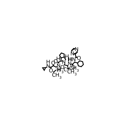 CCC[C@@H](NC(=O)C1[C@H]2CCC[C@@H]2CN1C(=O)[C@@H](NC(=O)[C@H](NC(=O)c1cnccn1)C1CCCCC1)C(C)(C)C)C(=O)C(=O)NC1CC1